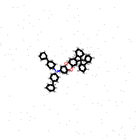 C1=CCCC(c2ccc(N(c3ccc(-c4ccccc4)cc3)c3ccc4c(c3)Oc3cc5c(cc3O4)C3(c4ccccc4-c4ccccc43)c3ccccc3-5)cc2)=C1